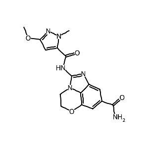 COc1cc(C(=O)Nc2nc3cc(C(N)=O)cc4c3n2CCO4)n(C)n1